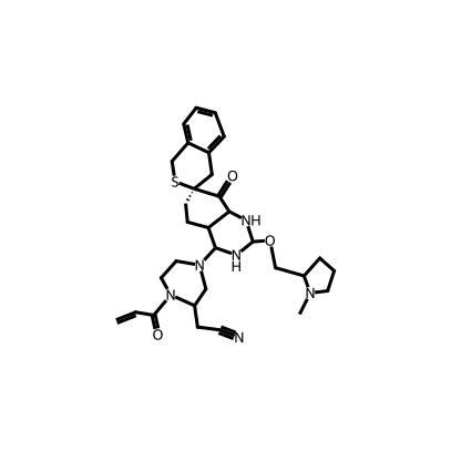 C=CC(=O)N1CCN(C2NC(OCC3CCCN3C)NC3C(=O)[C@]4(CCC32)Cc2ccccc2CS4)CC1CC#N